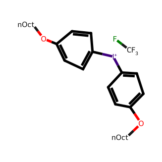 CCCCCCCCOc1ccc([I+]c2ccc(OCCCCCCCC)cc2)cc1.FC(F)(F)F